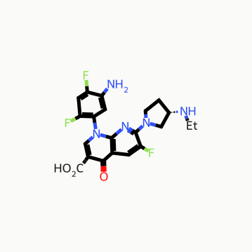 CCN[C@H]1CCN(c2nc3c(cc2F)c(=O)c(C(=O)O)cn3-c2cc(N)c(F)cc2F)C1